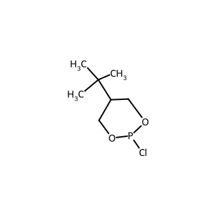 CC(C)(C)C1COP(Cl)OC1